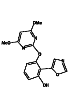 COc1cc(OC)nc(Oc2cccc(O)c2-c2cnco2)n1